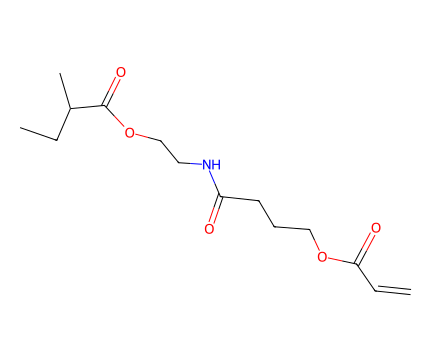 C=CC(=O)OCCCC(=O)NCCOC(=O)C(C)CC